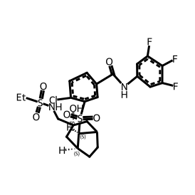 CCS(=O)(=O)NC[C@@]1(O)CC2CC[C@@H](C1)[C@H]2S(=O)(=O)c1cc(C(=O)Nc2cc(F)c(F)c(F)c2)ccc1Cl